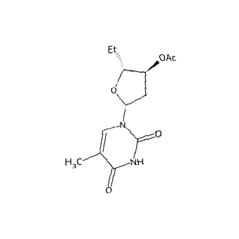 CC[C@H]1OC(n2cc(C)c(=O)[nH]c2=O)C[C@@H]1OC(C)=O